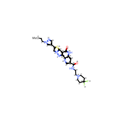 COCCn1cc(-c2cn3nc4c5ncc(C(=O)NCCN6CCC(F)(F)CC6)cc5[nH]c(=O)c4c3s2)cn1